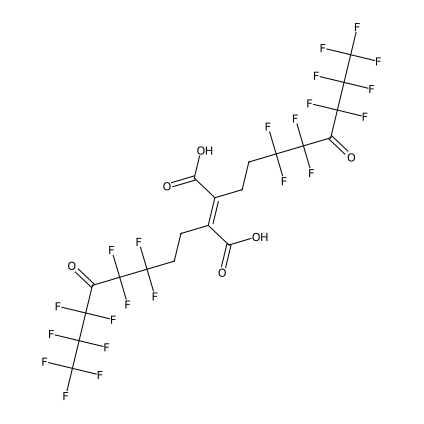 O=C(O)C(CCC(F)(F)C(F)(F)C(=O)C(F)(F)C(F)(F)C(F)(F)F)=C(CCC(F)(F)C(F)(F)C(=O)C(F)(F)C(F)(F)C(F)(F)F)C(=O)O